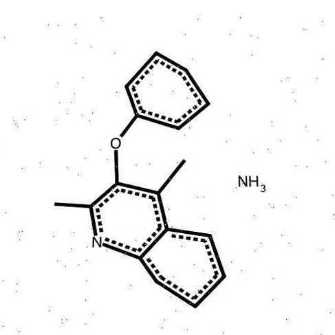 Cc1nc2ccccc2c(C)c1Oc1ccccc1.N